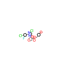 COc1ccc(COC(=O)C2(Oc3cc(Cl)nc(-c4ccc(Cl)c(F)c4)n3)CCOCC2)cc1